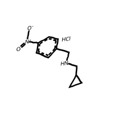 Cl.O=[N+]([O-])c1ccc(CNCC2CC2)cc1